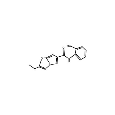 CCc1nn2cc(C(=O)Nc3ccccc3O)nc2s1